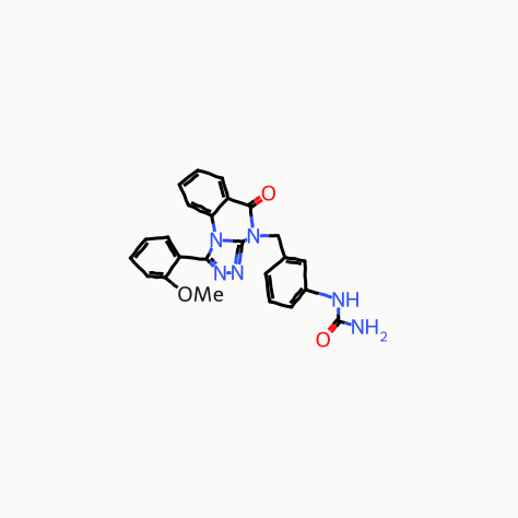 COc1ccccc1-c1nnc2n(Cc3cccc(NC(N)=O)c3)c(=O)c3ccccc3n12